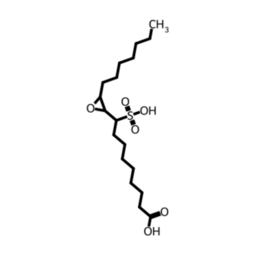 CCCCCCCC1OC1C(CCCCCCCC(=O)O)S(=O)(=O)O